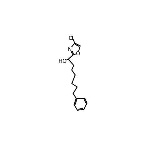 OC(CCCCCCc1ccccc1)c1nc(Cl)co1